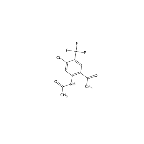 CC(=O)Nc1cc(Cl)c(C(F)(F)F)cc1C(C)=O